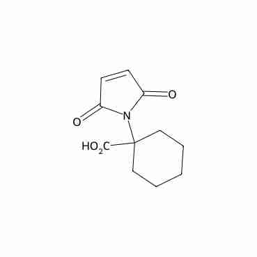 O=C1C=CC(=O)N1C1(C(=O)O)CCCCC1